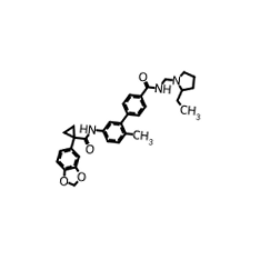 CCC1CCCN1CNC(=O)c1ccc(-c2cc(NC(=O)C3(c4ccc5c(c4)OCO5)CC3)ccc2C)cc1